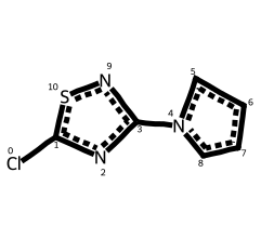 Clc1nc(-n2cccc2)ns1